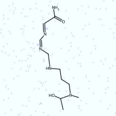 CC(O)N(C)CCCNC/N=C\N=C\C(N)=O